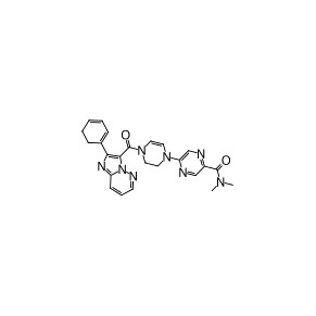 CN(C)C(=O)c1cnc(N2C=CN(C(=O)c3c(C4=CC=CCC4)nc4cccnn34)CC2)cn1